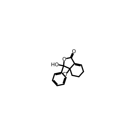 O=C1OC(O)(c2ccccc2)C2(Cl)CCCC=C12